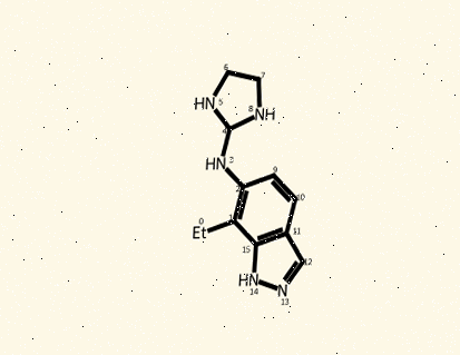 CCc1c(NC2NCCN2)ccc2cn[nH]c12